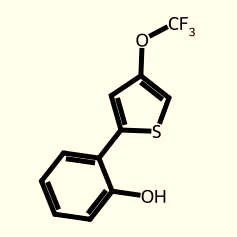 Oc1ccccc1-c1cc(OC(F)(F)F)cs1